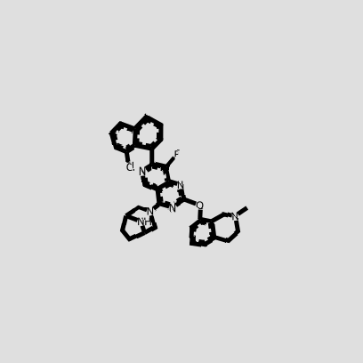 CN1CCc2cccc(Oc3nc(N4CC5CCC(C4)N5)c4cnc(-c5cccc6cccc(Cl)c56)c(F)c4n3)c2C1